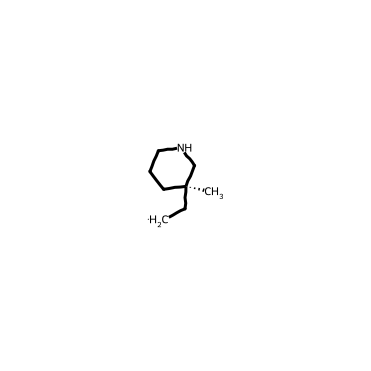 [CH2]C[C@@]1(C)CCCNC1